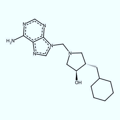 Nc1ncnc2c1ncn2CN1C[C@H](CC2CCCCC2)[C@@H](O)C1